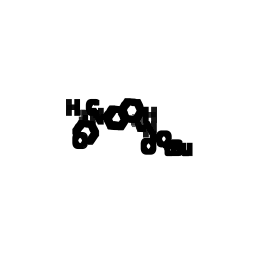 CN(c1ccc2c(c1)CCC[C@H]2CNC(=O)OC(C)(C)C)C1CCOCC1